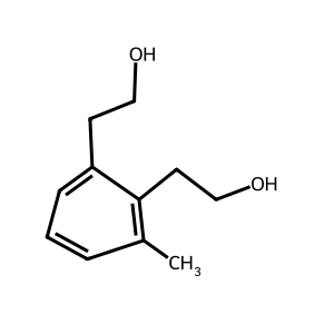 Cc1cccc(CCO)c1CCO